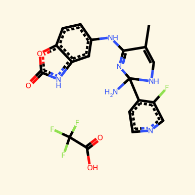 CC1=CNC(N)(c2ccncc2F)N=C1Nc1ccc2oc(=O)[nH]c2c1.O=C(O)C(F)(F)F